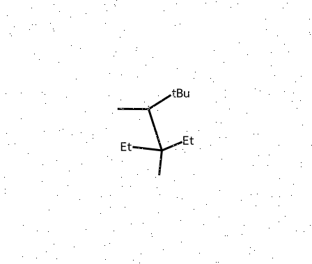 CCC(C)(CC)[C](C)C(C)(C)C